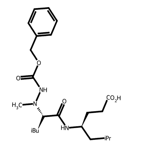 CC[C@H](C)[C@@H](C(=O)N[C@@H](CCC(=O)O)CC(C)C)N(C)NC(=O)OCc1ccccc1